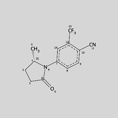 C[C@H]1CCC(=O)N1c1ccc(C#N)c(C(F)(F)F)c1